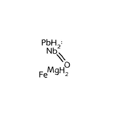 [Fe].[MgH2].[O]=[Nb].[PbH2]